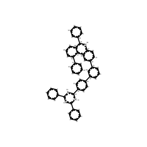 c1ccc(-c2nc(-c3ccccc3)nc(-c3ccc(-c4cccc(-c5ccc6nc(-c7ccccc7)c7cccc(-c8ccccc8)c7c6c5)c4)cc3)n2)cc1